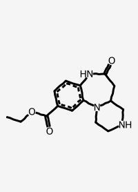 CCOC(=O)c1ccc2c(c1)N1CCNCC1CC(=O)N2